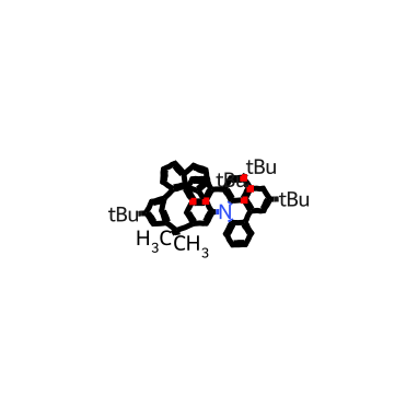 CC(C)(C)C1=CC(c2ccccc2N(c2ccc(C(C)(C)C)cc2-c2ccccc2)c2cc3ccc2-c2cccc4cccc(c24)-c2cc(C(C)(C)C)cc(c2)C3(C)C)=CC(C(C)(C)C)C1